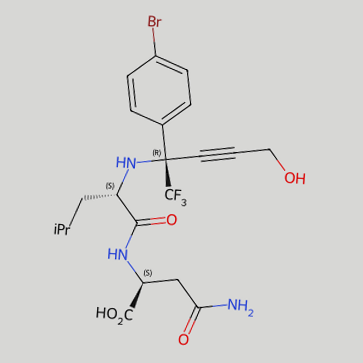 CC(C)C[C@H](N[C@@](C#CCO)(c1ccc(Br)cc1)C(F)(F)F)C(=O)N[C@@H](CC(N)=O)C(=O)O